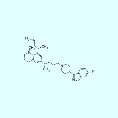 C=CCC(C)c1cc(C(C)CCCN2CCC(C3=NCc4cc(F)ccc43)CC2)cc2c1N(C)CCC2